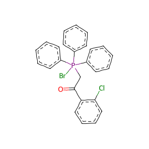 O=C(CP(Br)(c1ccccc1)(c1ccccc1)c1ccccc1)c1ccccc1Cl